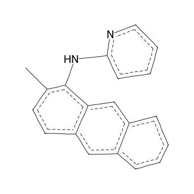 Cc1ccc2cc3ccccc3cc2c1Nc1ccccn1